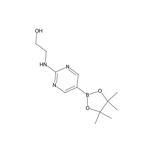 CC1(C)OB(c2cnc(NCCO)nc2)OC1(C)C